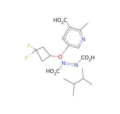 CC(C)C(C)C.Cc1ncc(OC2CC(F)(F)C2)cc1C(=O)O.O=C(O)/N=N/C(=O)O